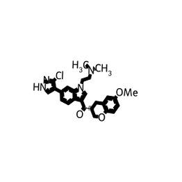 COc1ccc2c(c1)C[C@@H](C(=O)c1cn(CCN(C)C)c3cc(-c4c[nH]nc4Cl)ccc13)CO2